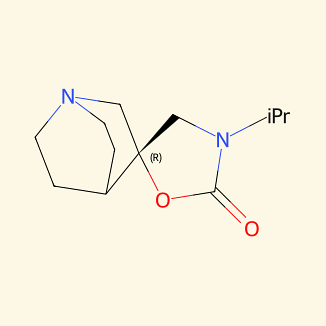 CC(C)N1C[C@@]2(CN3CCC2CC3)OC1=O